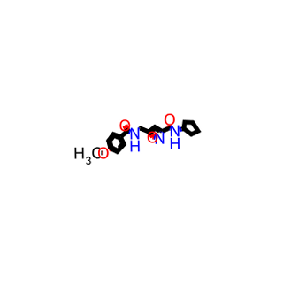 COc1ccc(C(=O)NCc2cc(C(=O)NC3CCCC3)no2)cc1